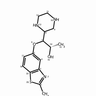 Cc1nc2cc(OC(C3CNCCN3)[C@H](C)O)ccc2s1